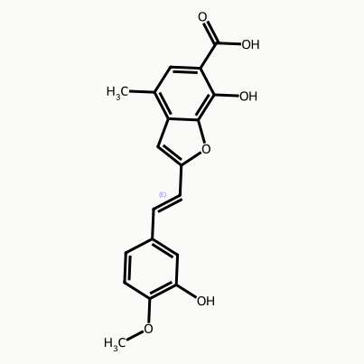 COc1ccc(/C=C/c2cc3c(C)cc(C(=O)O)c(O)c3o2)cc1O